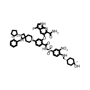 CC(C)c1ccccc1[C@@H]1CCC[C@@H]1N1CC2(CCN(c3ccc(C(=O)NS(=O)(=O)c4ccc(NC[C@H]5CC[C@](C)(O)CC5)c([N+](=O)[O-])c4)c(Oc4cc5c(F)c[nH]c5nc4C(N)=O)c3)CC2)C1